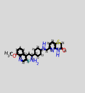 COc1cccc2c(CC(N)C3CCC(NCc4ccc5c(n4)NC(=O)CS5)CC3)c(F)cnc12